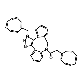 O=C(CC1=C/C=C\C=C/C=C\1)N1Cc2ccccc2-c2c(nnn2CC2=C/C=C\C=C/C=C\2)-c2ccccc21